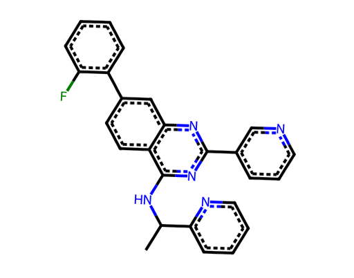 CC(Nc1nc(-c2cccnc2)nc2cc(-c3ccccc3F)ccc12)c1ccccn1